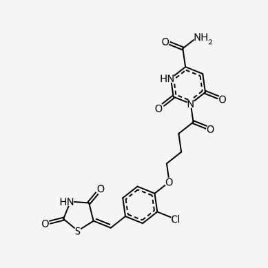 NC(=O)c1cc(=O)n(C(=O)CCCOc2ccc(C=C3SC(=O)NC3=O)cc2Cl)c(=O)[nH]1